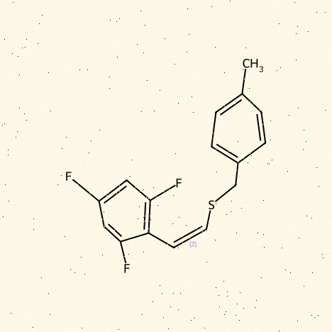 Cc1ccc(CS/C=C\c2c(F)cc(F)cc2F)cc1